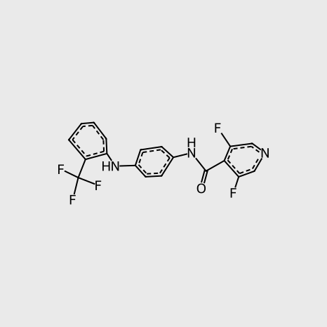 O=C(Nc1ccc(Nc2ccccc2C(F)(F)F)cc1)c1c(F)cncc1F